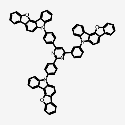 c1cc(-c2cc(-c3ccc(-n4c5ccccc5c5c6oc7ccccc7c6ccc54)cc3)nc(-c3ccc(-n4c5ccccc5c5c6oc7ccccc7c6ccc54)cc3)n2)cc(-n2c3ccccc3c3c4oc5ccccc5c4ccc32)c1